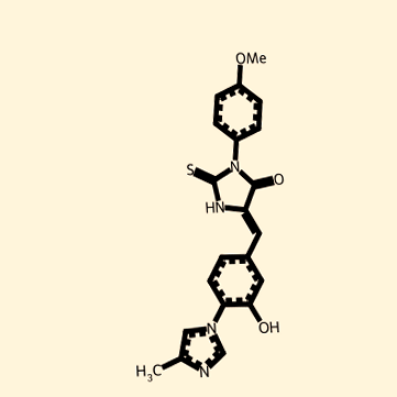 COc1ccc(N2C(=O)/C(=C/c3ccc(-n4cnc(C)c4)c(O)c3)NC2=S)cc1